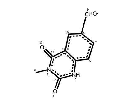 Cn1c(=O)[nH]c2ccc([C]=O)cc2c1=O